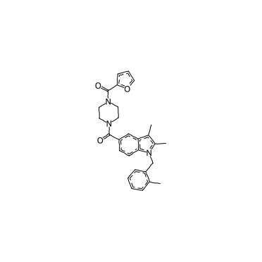 Cc1ccccc1Cn1c(C)c(C)c2cc(C(=O)N3CCN(C(=O)c4ccco4)CC3)ccc21